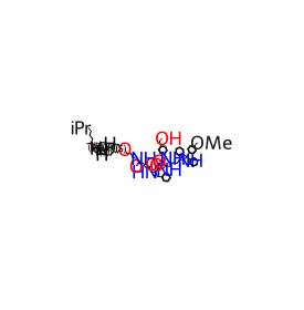 COc1ccc(C(NCCCCC(NC(=O)C(Cc2ccccc2)NC(=O)CCC(=O)NCCCO[C@H]2CC[C@@]3(C)C(=CC[C@H]4[C@@H]5CC[C@H](C(C)CCCC(C)C)[C@@]5(C)CC[C@@H]43)C2)C(=O)Nc2ccc(CO)cc2)(c2ccccc2)c2ccccc2)cc1